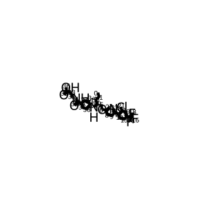 CC[C@H](C)[C@@H](COc1ccc(-c2ccc(C(F)(F)F)cc2Cl)nc1)Nc1ccc(C(=O)NCCC(=O)O)cc1